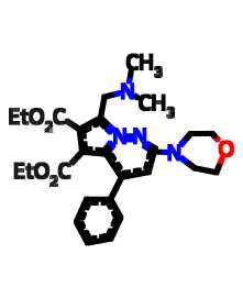 CCOC(=O)c1c(C(=O)OCC)c2c(-c3ccccc3)cc(N3CCOCC3)nn2c1CN(C)C